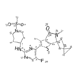 Cc1c(-c2nc(NC3CCN(S(C)(=O)=O)CC3)ncc2F)sc2c1C(=O)N(C)C21CC2(CC2)C1